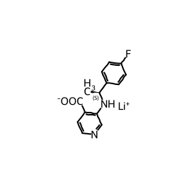 C[C@H](Nc1cnccc1C(=O)[O-])c1ccc(F)cc1.[Li+]